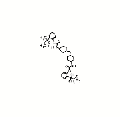 CCC(C)(C)c1ccccc1OC(=O)NC1CCC(CC2CCC(NC(=O)Oc3ccccc3C(C)(C)CC)CC2)CC1